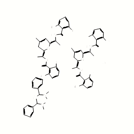 CC1=CC(=C(C)NC(=O)c2c(C(C)C)cccc2C(C)C)NC(=C(C)NC(=O)c2c(C(C)C)cccc2C(C)C)C1.CC1=CC(=C(C)NC(=O)c2c(C(C)C)cccc2C(C)C)NC(=C(C)NC(=O)c2c(C(C)C)cccc2C(C)C)C1.CN(C)[CH]([Zr][CH](c1ccccc1)N(C)C)c1ccccc1.[Zr]